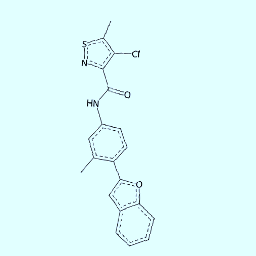 Cc1cc(NC(=O)c2nsc(C)c2Cl)ccc1-c1cc2ccccc2o1